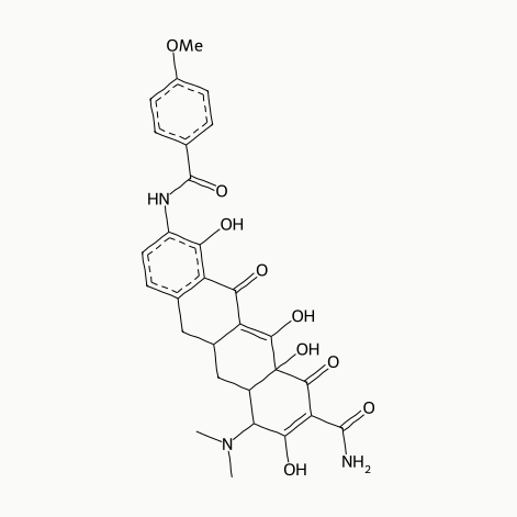 COc1ccc(C(=O)Nc2ccc3c(c2O)C(=O)C2=C(O)C4(O)C(=O)C(C(N)=O)=C(O)C(N(C)C)C4CC2C3)cc1